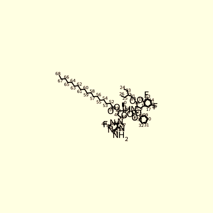 C#CC1(CO[P@@](=O)(NC(Cc2cc(F)cc(F)c2)C(=O)OCC(CC)CC)Oc2ccccc2)OC(n2cnc3c(N)nc(F)nc32)CC1OC(=O)CCCCCCCCCCCCCCCCC